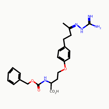 C/C(CCc1ccc(OCCC(NC(=O)OCc2ccccc2)C(=O)O)cc1)=N/NC(=N)N